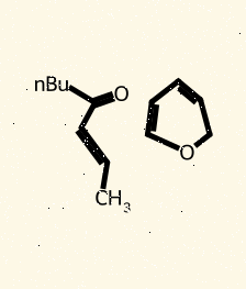 C1=CCOC=C1.CC=CC(=O)CCCC